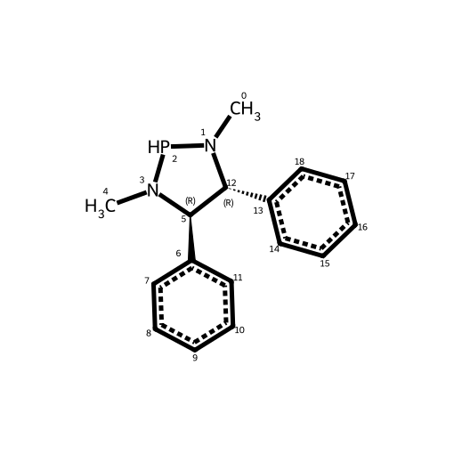 CN1PN(C)[C@H](c2ccccc2)[C@H]1c1ccccc1